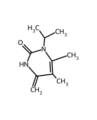 C=C1NC(=O)N(C(C)C)C(C)=C1C